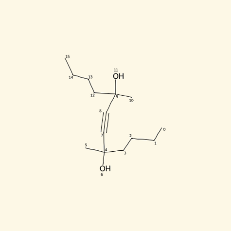 CCCCC(C)(O)C#CC(C)(O)CCCC